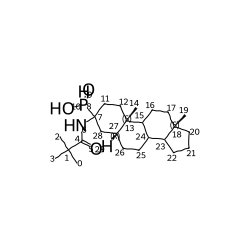 CC(C)(C)C(=O)NC1([PH](=O)O)CC[C@]2(C)C3CC[C@]4(C)CCCC4C3CC[C@@H]2C1